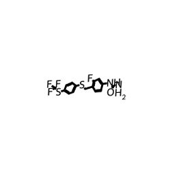 NC(=O)Nc1ccc(CSc2ccc(SC(F)(F)F)cc2)c(F)c1